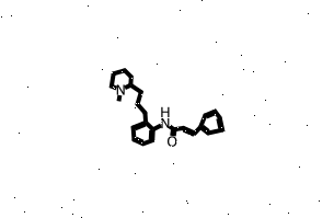 CN1CCCCC1CCCc1ccccc1NC(=O)C=Cc1ccccc1